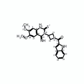 COc1cc2[nH]c(=S)n(C3CN(C(=O)c4cc5ccccc5[nH]4)C3)c(=N)c2cc1OC